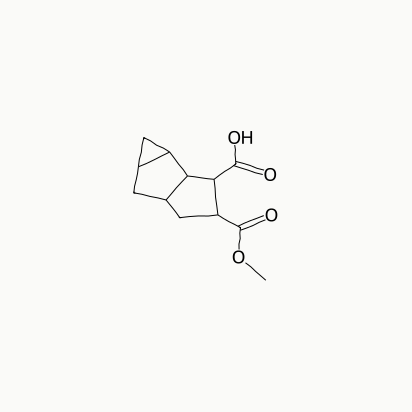 COC(=O)C1CC2CC3CC3C2C1C(=O)O